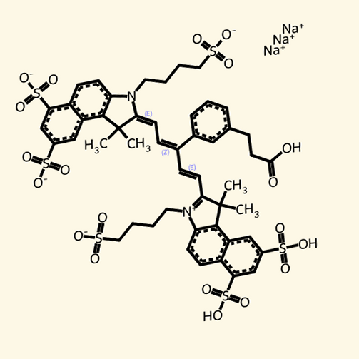 CC1(C)C(/C=C/C(=C/C=C2/N(CCCCS(=O)(=O)[O-])c3ccc4c(S(=O)(=O)[O-])cc(S(=O)(=O)[O-])cc4c3C2(C)C)c2cccc(CCC(=O)O)c2)=[N+](CCCCS(=O)(=O)[O-])c2ccc3c(S(=O)(=O)O)cc(S(=O)(=O)O)cc3c21.[Na+].[Na+].[Na+]